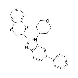 c1ccc2c(c1)OCC(c1nc3ccc(-c4ccncc4)cc3n1C1CCOCC1)O2